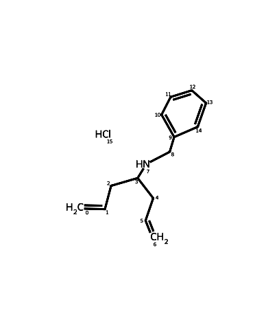 C=CCC(CC=C)NCc1ccccc1.Cl